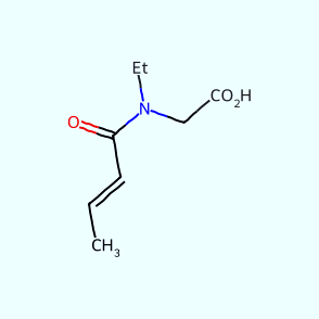 C/C=C/C(=O)N(CC)CC(=O)O